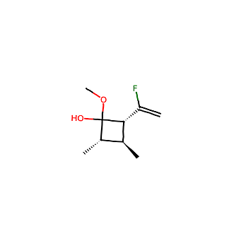 C=C(F)[C@@H]1[C@@H](C)[C@H](C)C1(O)OC